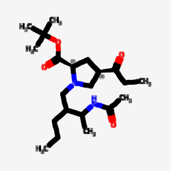 CCCC(CN1C[C@H](C(=O)CC)C[C@@H]1C(=O)OC(C)(C)C)C(C)NC(C)=O